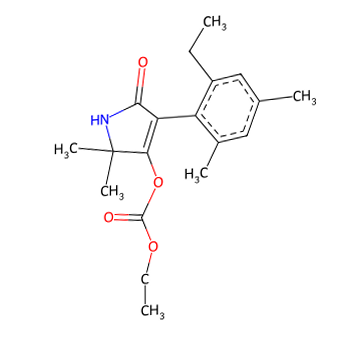 CCOC(=O)OC1=C(c2c(C)cc(C)cc2CC)C(=O)NC1(C)C